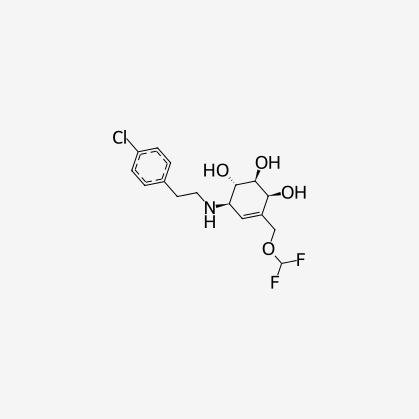 O[C@@H]1[C@@H](O)[C@@H](O)C(COC(F)F)=C[C@H]1NCCc1ccc(Cl)cc1